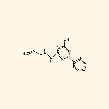 C=CCNNc1nc(O)nc(-c2ccccn2)n1